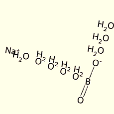 O.O.O.O.O.O.O.O.O=B[O-].[Na+]